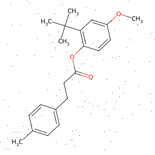 COc1ccc(OC(=O)CCc2ccc(C)cc2)c(C(C)(C)C)c1